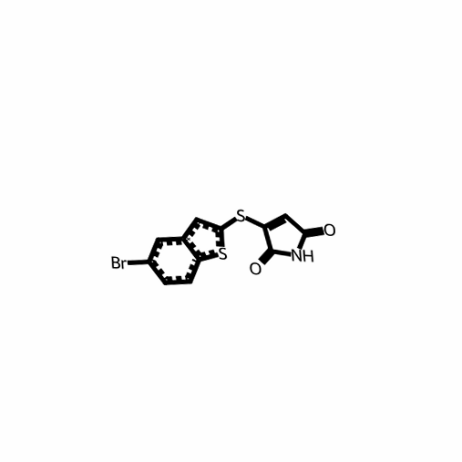 O=C1C=C(Sc2cc3cc(Br)ccc3s2)C(=O)N1